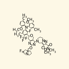 COc1ccc(C)cc1N(c1cc(C)ccc1OC)c1cc(C)c(C(F)(F)F)c(C2Cc3nc(OC[C@@]45CCCN4C[C@H](F)C5)nc(N4CCCn5nc(C(=O)N(C)OC)c(Cl)c5C4)c3CO2)c1F